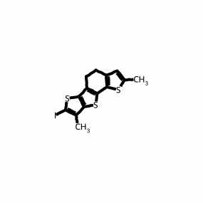 Cc1cc2c(s1)-c1sc3c(C)c(I)sc3c1CC2